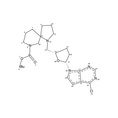 CC(C)(C)OC(=O)N1CCCC2(CCCN2C[C@@H]2CC[C@H](n3ccc4c(Cl)ncnc43)O2)C1